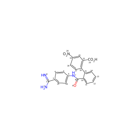 N=C(N)c1ccc(NC(=O)c2ccccc2-c2ccc([N+](=O)[O-])cc2C(=O)O)cc1